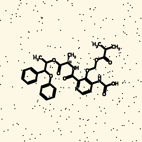 CC(C)C(=O)OCOc1c(NC(=O)O)ccnc1C(=O)N[C@@H](C)C(=O)OC(C)C(Oc1ccccc1)c1ccccc1